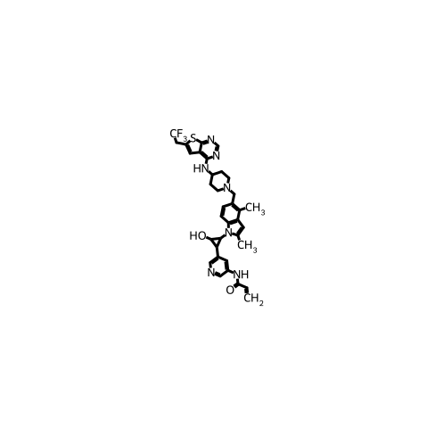 C=CC(=O)Nc1cncc(C2C(O)C2n2c(C)cc3c(C)c(CN4CCC(Nc5ncnc6sc(CC(F)(F)F)cc56)CC4)ccc32)c1